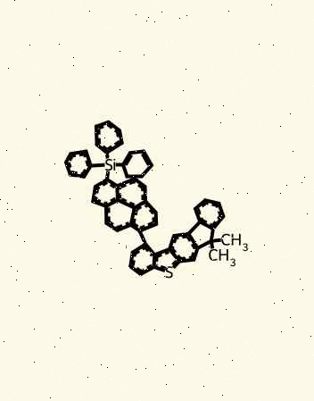 CC1(C)c2ccccc2-c2cc3c(cc21)sc1cccc(-c2ccc4ccc5c([Si](C6=CC=CCC6)(c6ccccc6)c6ccccc6)ccc6ccc2c4c65)c13